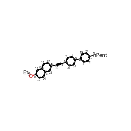 CCCCCc1ccc(-c2ccc(C#Cc3ccc4cc(OCC)ccc4c3)cc2)cc1